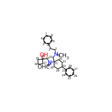 CN(CCc1ccccc1)CC1(N(C=O)CC2(O)CCC2)CCC(c2ccccc2)CC1